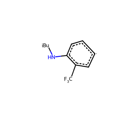 CCC(C)Nc1cc[c]cc1C(F)(F)F